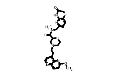 COc1ccc2nccc(CCN3CCOC(C(=O)N(C)Cc4ccc5c(n4)NC(=O)CS5)C3)c2n1